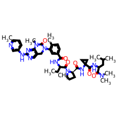 Cc1ccc(Nc2ncc3c(n2)N(C)C(=O)N(c2cc(C(=O)NC(C(=O)N4CCC[C@@H]4C(=O)NC4(C(=O)NC(CC(C)C)C(=O)N(C)C)CC4)C(C)C)ccc2C)C3)cn1